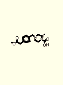 COC(=O)Cc1ccc(CN2CCN(C(=O)O)[C@H](C)C2)cc1